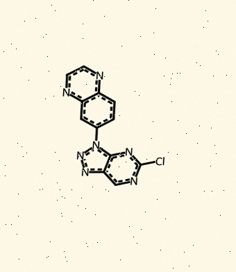 Clc1ncc2nnn(-c3ccc4nccnc4c3)c2n1